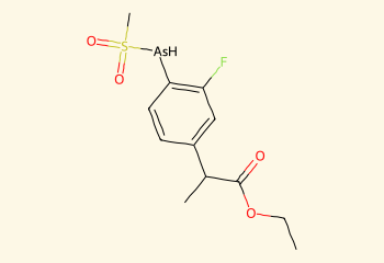 CCOC(=O)C(C)c1ccc([AsH]S(C)(=O)=O)c(F)c1